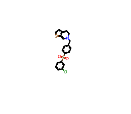 O=S(=O)(c1ccc(CN2C=c3sccc3=CC2)cc1)c1cccc(Cl)c1